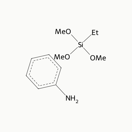 CC[Si](OC)(OC)OC.Nc1ccccc1